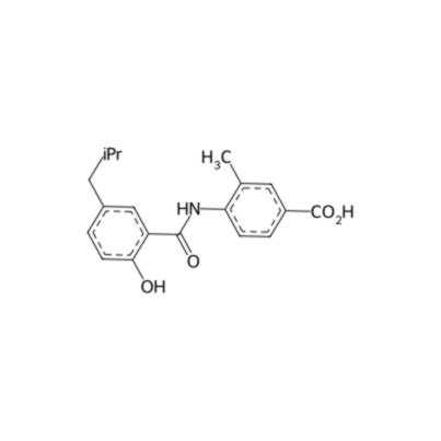 Cc1cc(C(=O)O)ccc1NC(=O)c1cc(CC(C)C)ccc1O